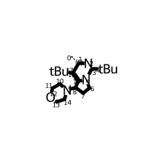 C[C@@H]1N=C(C(C)(C)C)N2CCC(N3CCOCC3)C2=C1C(C)(C)C